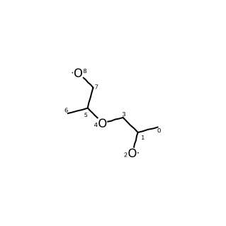 CC([O])COC(C)C[O]